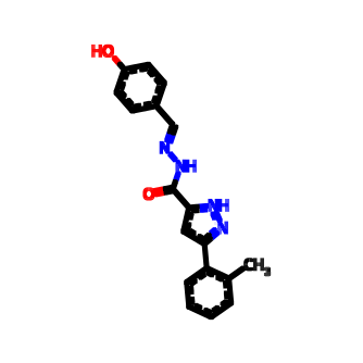 Cc1ccccc1-c1cc(C(=O)N/N=C/c2ccc(O)cc2)[nH]n1